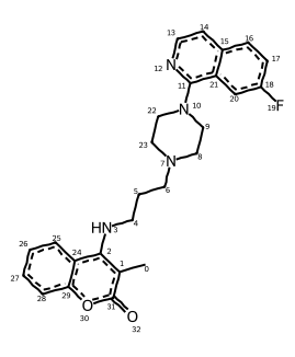 Cc1c(NCCCN2CCN(c3nccc4ccc(F)cc34)CC2)c2ccccc2oc1=O